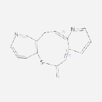 C=C1/C=c2/cccn/c2=C/CC2=C(C=C=CN=C2)S1